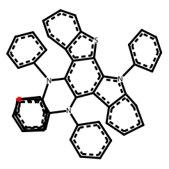 c1ccc(N(c2ccccc2)c2c(N(c3ccccc3)c3ccccc3)c3c4ccccc4n(-c4ccccc4)c3c3sc4ccccc4c23)cc1